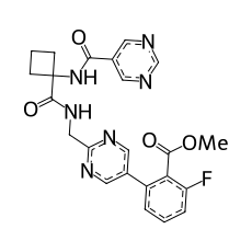 COC(=O)c1c(F)cccc1-c1cnc(CNC(=O)C2(NC(=O)c3cncnc3)CCC2)nc1